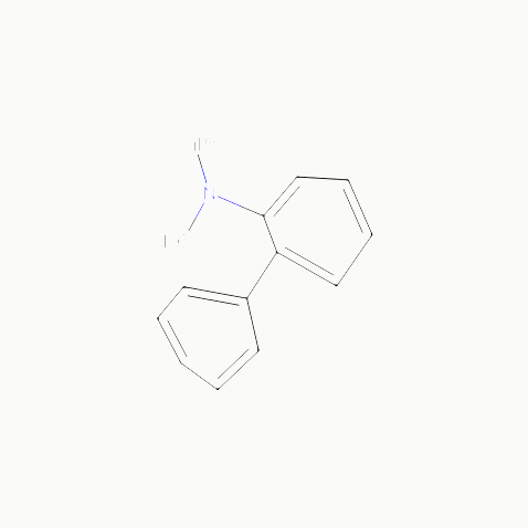 CC(C)N(C)c1ccccc1-c1ccccc1